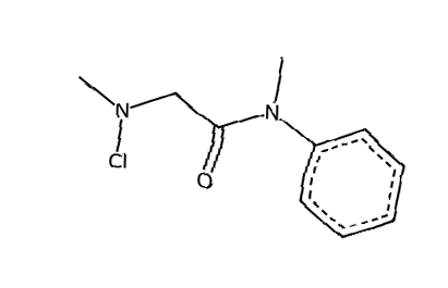 CN(Cl)CC(=O)N(C)c1ccccc1